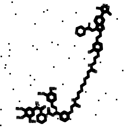 CC[C@H](C(=O)N1CCCC[C@H]1C(=O)O[C@H](CCc1ccc(OC)c(OC)c1)c1cccc(OCC(=O)NCCOCCOCCC(=O)NCCOc2ccc(CCc3nc4cc(-c5c(C)noc5C)ccc4n3C[C@H](C)N3CCOCC3)cc2Cl)c1)c1cc(OC)c(OC)c(OC)c1